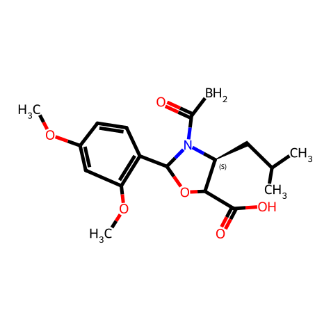 BC(=O)N1C(c2ccc(OC)cc2OC)OC(C(=O)O)[C@@H]1CC(C)C